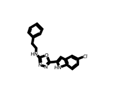 Clc1ccc2[nH]c(-c3nnc(NCCc4ccccc4)o3)cc2c1